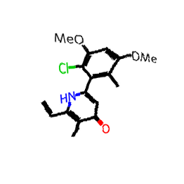 C=Cc1[nH]c(-c2c(C)c(OC)cc(OC)c2Cl)cc(=O)c1C